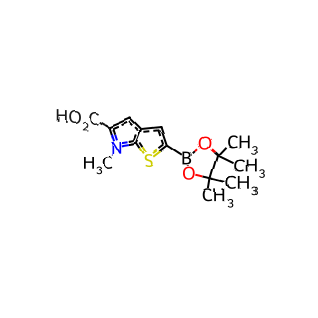 Cn1c(C(=O)O)cc2cc(B3OC(C)(C)C(C)(C)O3)sc21